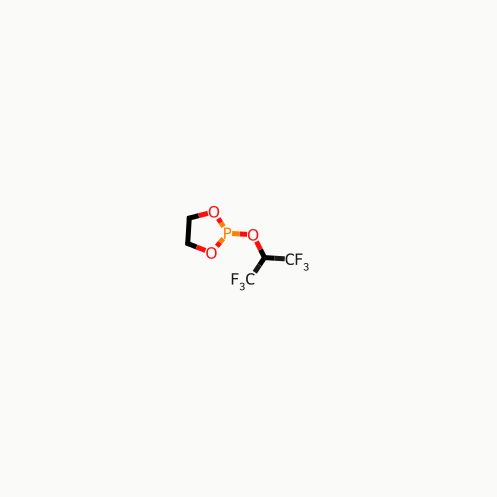 FC(F)(F)C(OP1OCCO1)C(F)(F)F